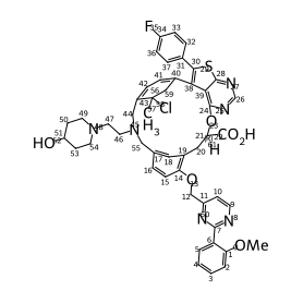 COc1ccccc1-c1nccc(COc2ccc3cc2C[C@H](C(=O)O)Oc2ncnc4sc(-c5ccc(F)cc5)c(c24)C2=CC=C(CN(CCN4CCC(O)CC4)C3)C(C)(Cl)C2)n1